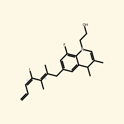 C=C/C=C(I)\C(C)=C(/C)Cc1cc(F)c2c(c1)C(C)C(C)=CN2CCO